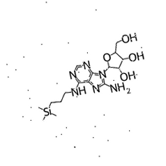 C[Si](C)(C)CCCNc1ncnc2c1nc(N)n2C1OC(CO)C(O)C1O